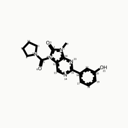 Cn1c(=O)n(C(=O)N2CCCC2)c2cnc(-c3cccc(O)c3)nc21